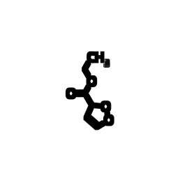 CCOC(=O)C1C=COO1